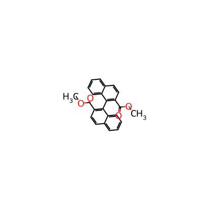 COC(=O)c1ccc2ccccc2c1-c1c(C(=O)OC)ccc2ccccc12